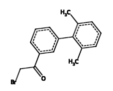 Cc1cccc(C)c1-c1cccc(C(=O)CBr)c1